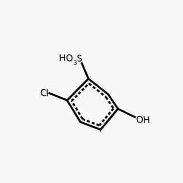 O=S(=O)(O)c1cc(O)[c]cc1Cl